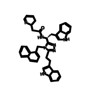 O=C(CC1CC=CC=N1)N[C@H](Cc1c[nH]c2ccccc12)c1nnc(CCc2c[nH]c3ccccc23)n1Cc1cccc2ccccc12